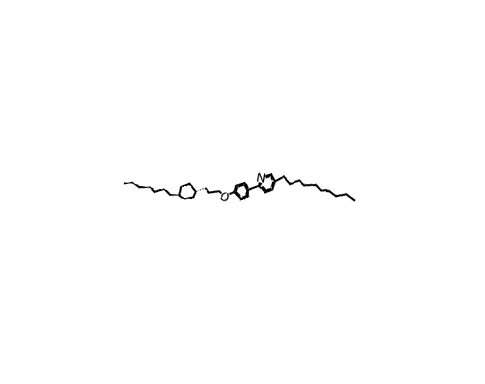 CCCCCCCCCCc1ccc(-c2ccc(OCCC[C@H]3CC[C@H](CCCCCCC)CC3)cc2)nc1